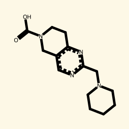 O=C(O)N1CCc2nc(CN3CCCCC3)ncc2C1